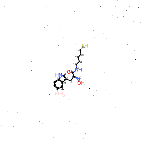 Bc1ccc2[nH]cc(C/C(=N\O)C(=O)NCCCCCS)c2c1